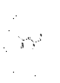 C=CC(=C)OC(C)=O